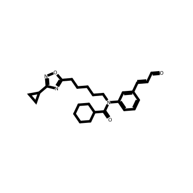 O=C/C=C/c1cccc(N(CCCCCc2nc(C3CC3)no2)C(=O)C2CCCCC2)c1